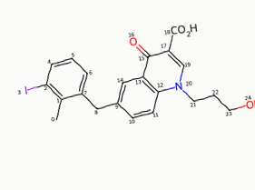 Cc1c(I)cccc1Cc1ccc2c(c1)c(=O)c(C(=O)O)cn2CCCO